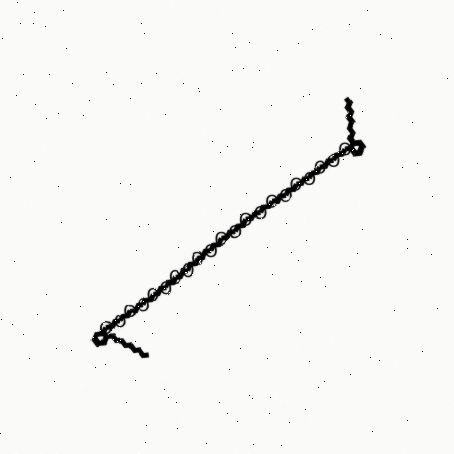 CCCCCCCCCc1ccccc1OCCOCCOCCOCCOCCOCCOCCOCCOCCOCCOCCOCCOCCOCCOCCOCCOCCOCCOCCOCCOc1ccccc1CCCCCCCCC